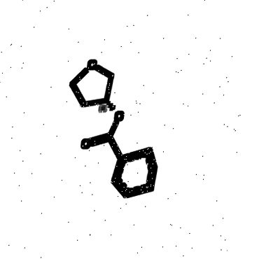 O=C(O[C@@H]1CCOC1)c1ccccc1